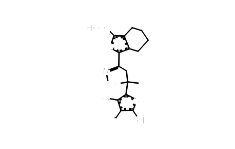 C/N=C(\CC(C)(c1sc(Cl)c(Cl)c1Cl)C(F)(F)F)c1sc(C(=O)O)c2c1CCCC2